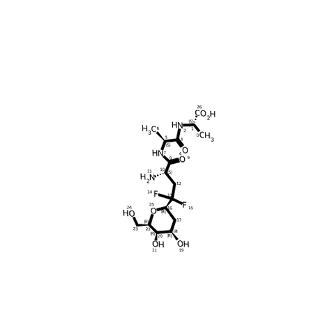 C[C@H](NC(=O)[C@H](C)NC(=O)[C@@H](N)CC(F)(F)[C@H]1C[C@@H](O)[C@@H](O)[C@@H](CO)O1)C(=O)O